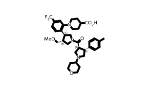 COC[C@H]1CN(C(=O)[C@@H]2CN(C3CCOCC3)C[C@H]2c2ccc(C)cc2)C[C@@H]1c1ccc(C(F)(F)F)cc1N1CCC(C(=O)O)CC1